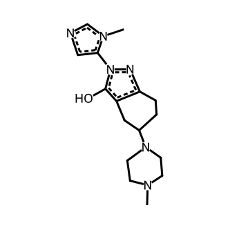 CN1CCN(C2CCc3nn(-c4cncn4C)c(O)c3C2)CC1